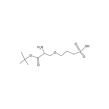 CC(C)(C)OC(=O)C(N)COCCCS(=O)(=O)O